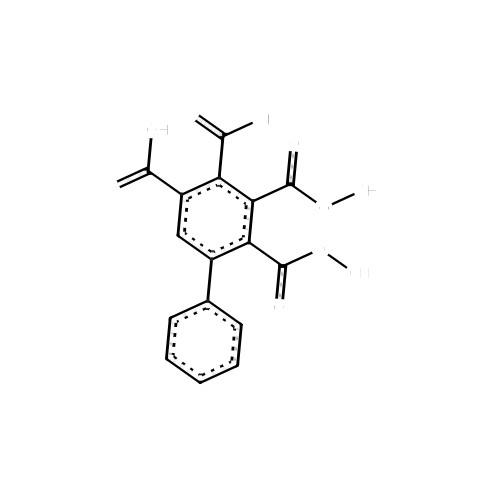 COC(=O)c1c(-c2ccccc2)cc(C(=O)O)c(C(=O)O)c1C(=O)OC